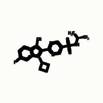 C[C@H](NS(=O)(=O)c1cnc(-c2c(C#N)c3ccc(F)cc3n2C2CCC2)nc1)C(F)(F)F